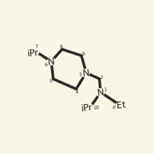 CCN(CN1CCN(C(C)C)CC1)C(C)C